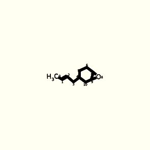 CC=CCC1CCC2OC2C1